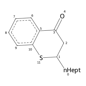 CCCCCCCC1CC(=O)c2ccccc2S1